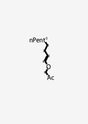 CCCCCCCC=COCC(C)=O